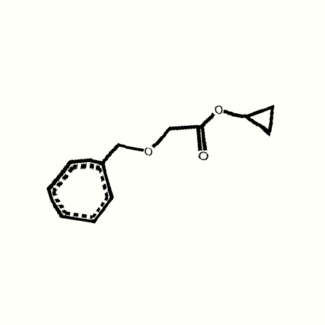 O=C(COCc1ccccc1)OC1CC1